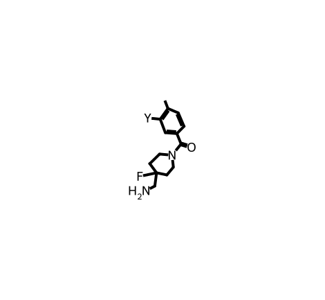 Cc1ccc(C(=O)N2CCC(F)(CN)CC2)c[c]1[Y]